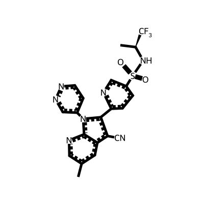 Cc1cnc2c(c1)c(C#N)c(-c1ccc(S(=O)(=O)N[C@@H](C)C(F)(F)F)cn1)n2-c1ccnnc1